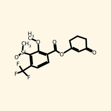 COc1c(C(=O)OC2=CC(=O)CCC2)ccc(C(F)(F)F)c1[S+](C)[O-]